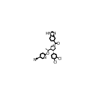 C[C@H](Oc1ccc(C#N)cn1)[C@H]1CN(C(=O)c2ccc3[nH]cnc3c2)C[C@@H]1c1ccc(Cl)c(Cl)c1